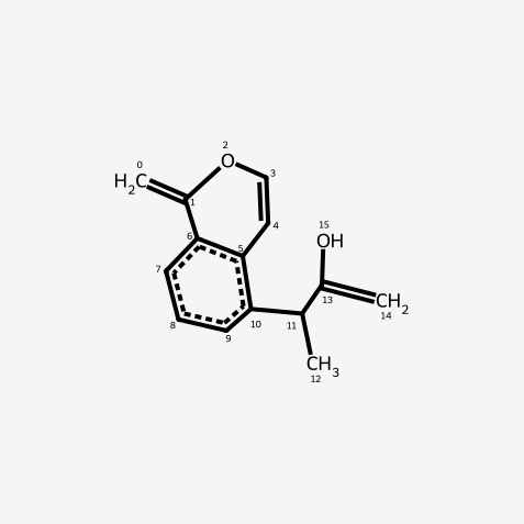 C=C1OC=Cc2c1cccc2C(C)C(=C)O